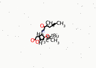 CC#CC[C@H](C)C(=O)/C=C/[C@H]1C(O[Si](C)(C)C(C)(C)C)C[C@@H]2OC(=O)C[C@@H]21